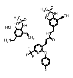 C#Cc1cc(CNC(=O)C=Cc2ccc(C(F)(F)F)nc2Oc2ccc(F)cc2)cc(F)c1NS(C)(=O)=O.C=Cc1cc(CN)cc(F)c1NS(C)(=O)=O.Cl